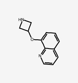 c1cnc2c(OC3CNC3)cccc2c1